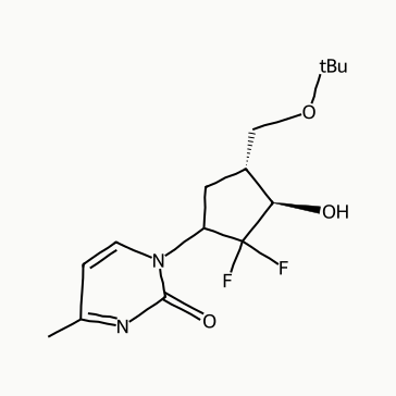 Cc1ccn(C2C[C@H](COC(C)(C)C)[C@@H](O)C2(F)F)c(=O)n1